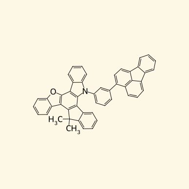 CC1(C)c2ccccc2-c2c1c1c3ccccc3oc1c1c3ccccc3n(-c3cccc(-c4ccc5c6c(cccc46)-c4ccccc4-5)c3)c21